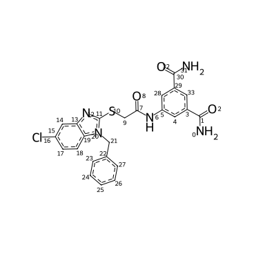 NC(=O)c1cc(NC(=O)CSc2nc3cc(Cl)ccc3n2Cc2ccccc2)cc(C(N)=O)c1